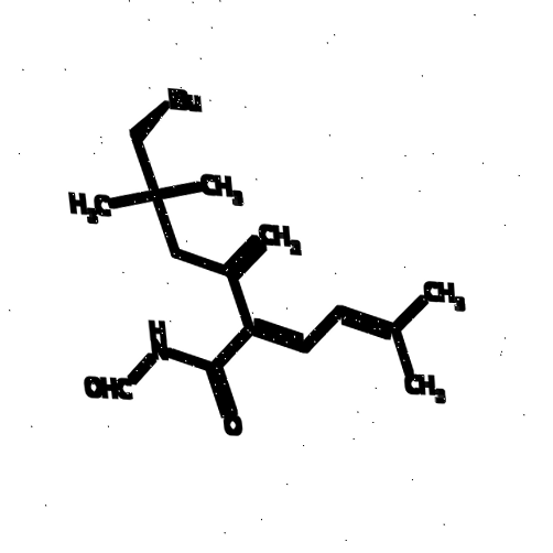 C=C(CC(C)(C)C[C@H](C)CC)/C(=C\C=C(C)C)C(=O)NC=O